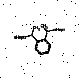 CCCCCCCP(C)c1ccccc1P(C)CCCCCCC